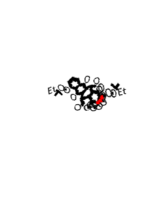 CCC(C)(C)OOc1cccc2c(=O)c3c4c(=O)ooooooc(=O)c(c5c(=O)c6cccc(OOC(C)(C)CC)c6c(=O)c45)c3c(=O)c12